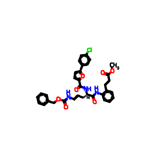 COC(=O)CCc1ccccc1NC(=O)[C@H](CCCNC(=O)OCc1ccccc1)NC(=O)c1ccc(-c2ccc(Cl)cc2)o1